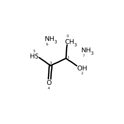 CC(O)C(=O)S.N.N